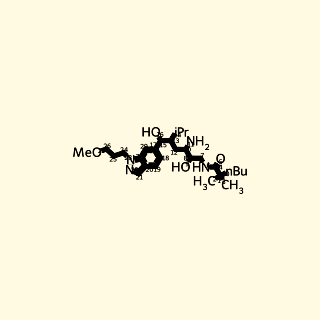 CCCCC(C)(C)C(=O)NCC(O)C(N)CC(C(C)C)C(O)c1ccc2cnn(CCCOC)c2c1